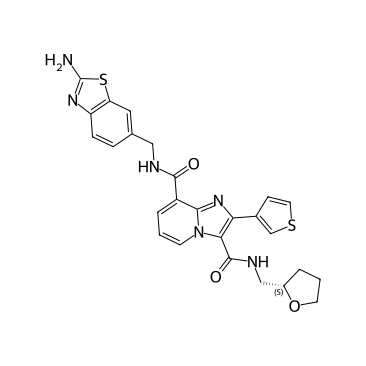 Nc1nc2ccc(CNC(=O)c3cccn4c(C(=O)NC[C@@H]5CCCO5)c(-c5ccsc5)nc34)cc2s1